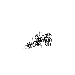 CC(=O)N[C@@H](C(C)=O)[C@@H](OC(=O)NC(C(=O)NC(CCC(=O)NC(C)C(=O)O)C(N)=O)C(C)C)[C@H](O)[C@H](O)CO